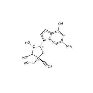 C#C[C@]1(CO)O[C@@H](c2ccc3c(O)nc(N)nn23)[C@@H](O)C1O